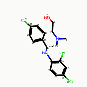 CN(CCO)C[C@H](Nc1ccc(Cl)cc1Cl)c1ccc(Cl)cc1